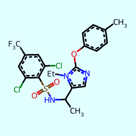 CCn1c(C(C)NS(=O)(=O)c2c(Cl)cc(C(F)(F)F)cc2Cl)cnc1Oc1ccc(C)cc1